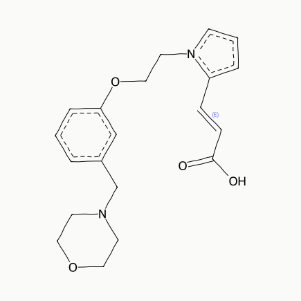 O=C(O)/C=C/c1cccn1CCOc1cccc(CN2CCOCC2)c1